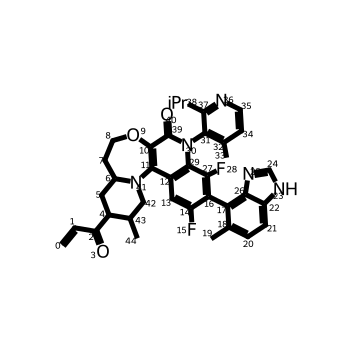 C=CC(=O)C1CC2CCOc3c(c4cc(F)c(-c5c(C)ccc6[nH]cnc56)c(F)c4n(-c4c(C)ccnc4C(C)C)c3=O)N2CC1C